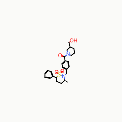 C[C@H]1CCC(c2ccccc2)S(=O)(=O)N1Cc1ccc(C(=O)N2CCCC(CO)C2)cc1